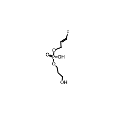 O=P(O)(OCC=CF)OCCCO